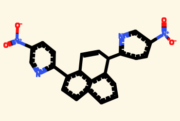 O=[N+]([O-])c1ccc(-c2ccc3cccc4c3c2C=CC4c2ccc([N+](=O)[O-])cn2)nc1